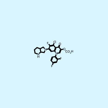 O=C(O)Oc1cn(-c2ccc(F)cc2F)c2cc(N3CC4CCCNC4C3)c(F)c(Cl)c2c1=O